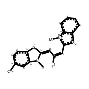 CCC(=Cc1sc2ccccc2[n+]1CC)C=C1Sc2ccc(Cl)cc2N1C